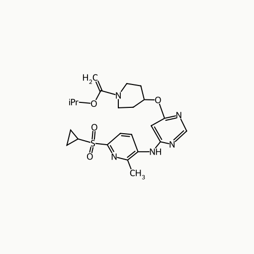 C=C(OC(C)C)N1CCC(Oc2cc(Nc3ccc(S(=O)(=O)C4CC4)nc3C)ncn2)CC1